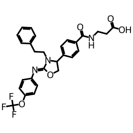 O=C(O)CCNC(=O)c1ccc(C2CO/C(=N\c3ccc(OC(F)(F)F)cc3)N2CCc2ccccc2)cc1